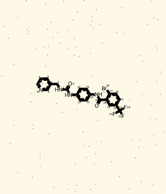 O=C(NCc1cccnc1)Nc1ccc(NC(=O)c2cc(C(F)(F)F)ccc2Br)cc1